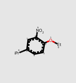 CCOc1ccc(C(C)C)cc1[N+](=O)[O-]